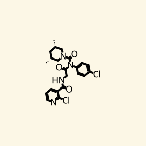 C[C@@H]1C[C@H](C)CN(C(=O)N(C(=O)CNC(=O)c2cccnc2Cl)c2ccc(Cl)cc2)C1